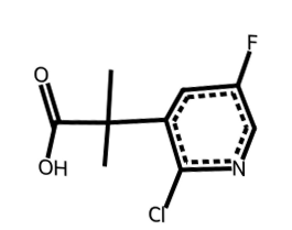 CC(C)(C(=O)O)c1cc(F)cnc1Cl